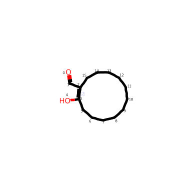 O=C/C1=C(\O)CCCCCCCCCCC1